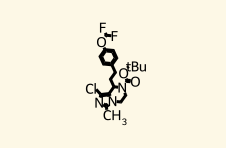 Cc1nc(Cl)c2n1CCN(C(=O)OC(C)(C)C)C2CCc1ccc(OC(F)F)cc1